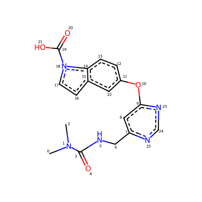 CN(C)C(=O)NCc1cc(Oc2ccc3c(ccn3C(=O)O)c2)ncn1